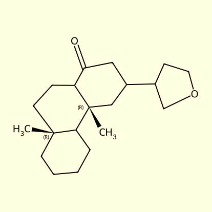 C[C@]12CCCCC1[C@@]1(C)CC(C3CCOC3)CC(=O)C1CC2